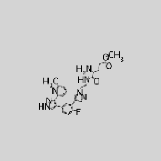 COC(=O)CC[C@@H](N)C(=O)NCCn1cc(-c2cc(-c3c[nH]nc3-c3cccc(C)n3)ccc2F)cn1